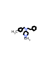 Cc1ccc(CN(CCc2ccccc2)C2CCN(C)CC2)cc1